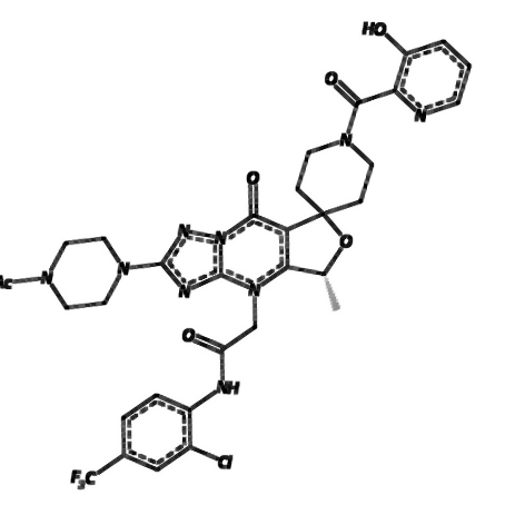 CC(=O)N1CCN(c2nc3n(CC(=O)Nc4ccc(C(F)(F)F)cc4Cl)c4c(c(=O)n3n2)C2(CCN(C(=O)c3ncccc3O)CC2)O[C@@H]4C)CC1